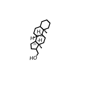 C[C@]12CCCCC1CC[C@@H]1[C@@H]2CC[C@]2(C)C(CO)CC[C@@H]12